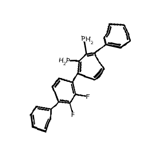 Fc1c(-c2ccccc2)ccc(-c2ccc(-c3ccccc3)c(P)c2P)c1F